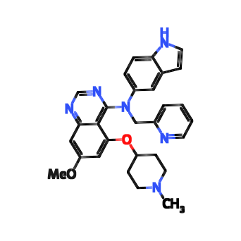 COc1cc(OC2CCN(C)CC2)c2c(N(Cc3ccccn3)c3ccc4[nH]ccc4c3)ncnc2c1